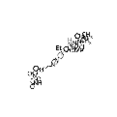 CCc1cc(Nc2ncc(Cl)c(Nc3ccccc3P(C)(C)=O)n2)c(OC)cc1N1CCC(N2CCN(CCCCOc3cccc4c3CN(C3CCC(=O)NC3=O)C4=O)CC2)CC1